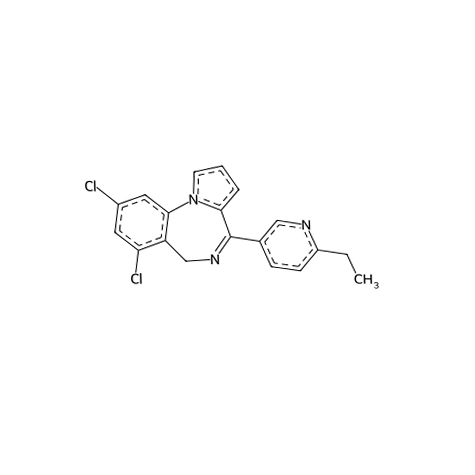 CCc1ccc(C2=NCc3c(Cl)cc(Cl)cc3-n3cccc32)cn1